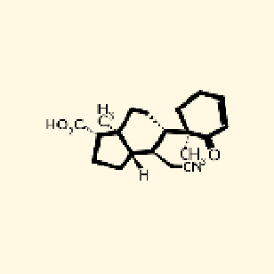 C[C@]12CC[C@H]([C@@]3(C)CCC=CC3=O)[C@@H](CC#N)[C@@H]1CC[C@@H]2C(=O)O